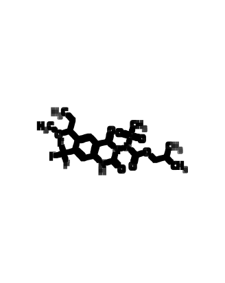 CCC(OC)c1cc2c(=O)n(N(C(=O)OCC(C)C)S(C)(=O)=O)c(=O)[nH]c2cc1C(F)(F)F